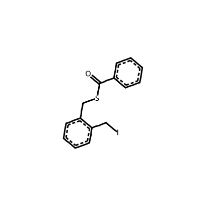 O=C(SCc1ccccc1CI)c1ccccc1